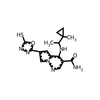 CC(Nc1c(C(N)=O)cnn2cc(-c3nnc(S)o3)cc12)C1(C)CC1